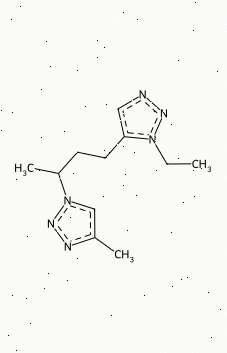 CCn1nncc1CCC(C)n1cc(C)nn1